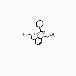 CCCc1cccc(CCC)c1NC(=O)N1CCCCC1